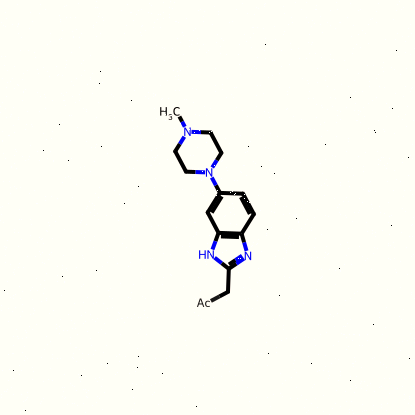 CC(=O)Cc1nc2ccc(N3CCN(C)CC3)cc2[nH]1